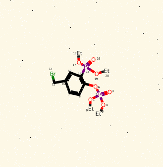 CCOP(=O)(OCC)Oc1ccc(CBr)cc1P(=O)(OCC)OCC